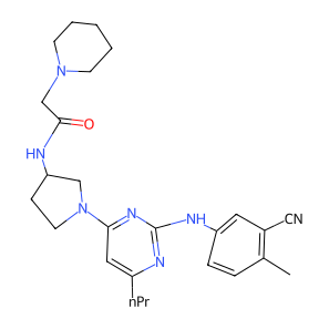 CCCc1cc(N2CCC(NC(=O)CN3CCCCC3)C2)nc(Nc2ccc(C)c(C#N)c2)n1